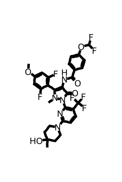 COc1cc(F)c(-c2c(NC(=O)c3ccc(OC(F)F)cc3)c(=O)n(-c3nc(N4CCC(C)(O)CC4)ccc3C(F)(F)F)n2C)c(F)c1